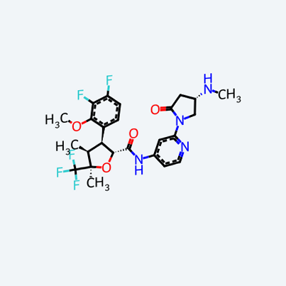 CN[C@H]1CC(=O)N(c2cc(NC(=O)[C@@H]3O[C@@](C)(C(F)(F)F)[C@@H](C)[C@H]3c3ccc(F)c(F)c3OC)ccn2)C1